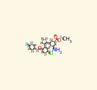 CCOC(=O)c1cc(N)cc(C2=C(c3cc(Cl)ccc3OCc3ccc(F)cc3)CCC2)c1